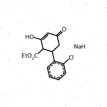 CCOC(=O)C1C(O)=CC(=O)CC1c1ccccc1Cl.[NaH]